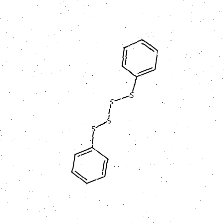 [c]1ccc(SSSSc2cc[c]cc2)cc1